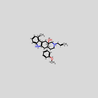 C=CCN1CC[C@@]2(c3cccc(OC)c3)Cc3[nH]c4cccc(C)c4c3C[C@]2(O)C1